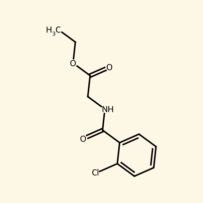 CCOC(=O)CNC(=O)c1ccccc1Cl